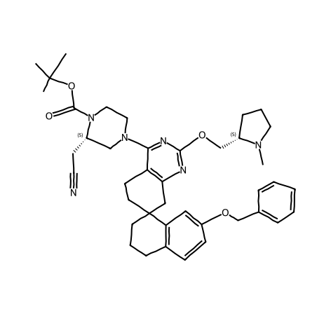 CN1CCC[C@H]1COc1nc2c(c(N3CCN(C(=O)OC(C)(C)C)[C@@H](CC#N)C3)n1)CCC1(CCCc3ccc(OCc4ccccc4)cc31)C2